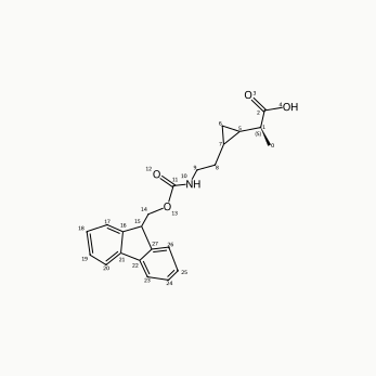 C[C@H](C(=O)O)C1CC1CCNC(=O)OCC1c2ccccc2-c2ccccc21